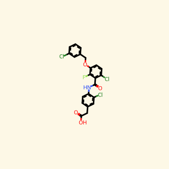 O=C(O)Cc1ccc(NC(=O)c2c(Cl)ccc(OCc3cccc(Cl)c3)c2F)c(Cl)c1